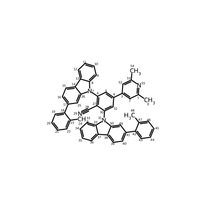 Cc1cc(-c2cc(-n3c4ccccc4c4ccc(-c5ccccc5C)cc43)c(C#N)c(-n3c4ccccc4c4ccc(-c5ccccc5C)cc43)c2)cc(C)n1